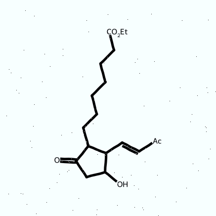 CCOC(=O)CCCCCCC1C(=O)CC(O)C1C=CC(C)=O